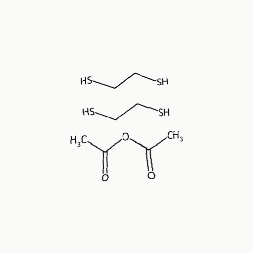 CC(=O)OC(C)=O.SCCS.SCCS